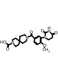 COc1ccc(C(=O)N2CCC3(CCN(C(=O)O)CC3)CC2)cc1N1CCC(=O)NC1=O